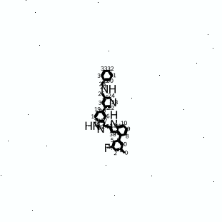 Cc1cc(F)cc(-c2cccc3[nH]c(-c4n[nH]c5ccc(-c6cncc(CNCc7ccccc7)c6)cc45)cc23)c1